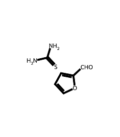 NC(N)=S.O=Cc1ccco1